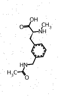 CN[C@@H](Cc1cccc(CNC(C)=O)c1)C(=O)O